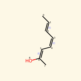 C/C=C/C=C\C=C(/C)O